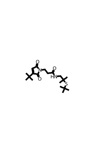 CC(C)(C)SC(C)(C)CNC(=O)CCN1C(=O)C=C(C(C)(C)C)C1=O